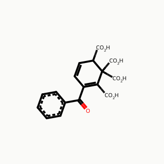 O=C(O)C1=C(C(=O)c2ccccc2)C=CC(C(=O)O)C1(C(=O)O)C(=O)O